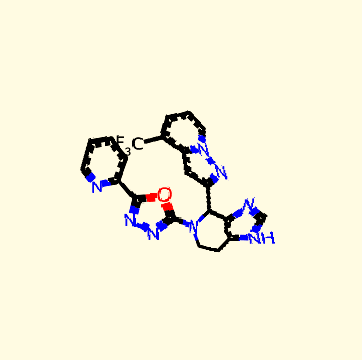 FC(F)(F)c1cccn2nc(C3c4nc[nH]c4CCN3c3nnc(-c4ccccn4)o3)cc12